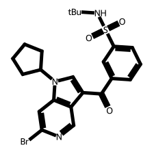 CC(C)(C)NS(=O)(=O)c1cccc(C(=O)c2cn(C3CCCC3)c3cc(Br)ncc23)c1